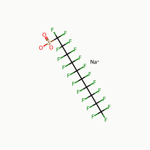 O=S(=O)([O-])C(F)(F)C(F)(F)C(F)(F)C(F)(F)C(F)(F)C(F)(F)C(F)(F)C(F)(F)C(F)(F)C(F)(F)F.[Na+]